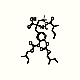 CCCC(C)C(=O)O[C@@H](C)CC(N)(Cc1ccc(OC(=O)OCC(C)CC)c(OC(=O)OCC(C)CC)c1)C(=O)O